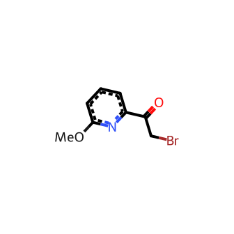 COc1cccc(C(=O)CBr)n1